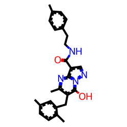 Cc1ccc(CCNC(=O)c2cnn3c(O)c(Cc4cc(C)ccc4C)c(C)nc23)cc1